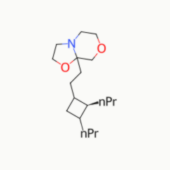 CCCC1CC(CCC23COCCN2CCO3)[C@H]1CCC